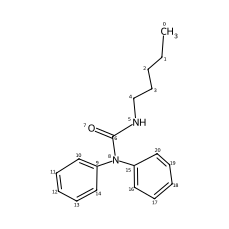 CCCCCNC(=O)N(c1ccccc1)c1ccccc1